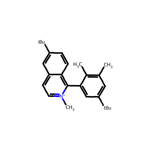 CCC(C)c1ccc2c(-c3cc(C(C)(C)C)cc(C)c3C)[n+](C)ccc2c1